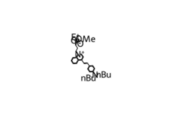 CCCCN(CCCC)c1ccc(C=Cc2cc[n+](CCCP(=O)(OC)OCC)c3ccccc23)cc1